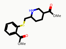 COC(=O)c1ccccc1SCC1CCC(C(=O)OC)CN1